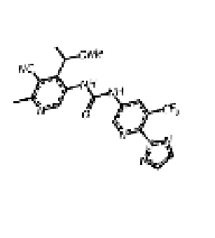 COC(C)c1c(NC(=O)Nc2cnc(-n3nccn3)c(C(F)(F)F)c2)cnc(C)c1C#N